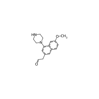 COc1ccc2cc(CC=O)cc(N3CCNCC3)c2c1